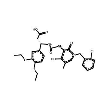 CCOc1ccc([C@H](CC(=O)O)NC(=O)Nc2c(O)c(C)cn(Cc3ccccc3Cl)c2=O)cc1OCC